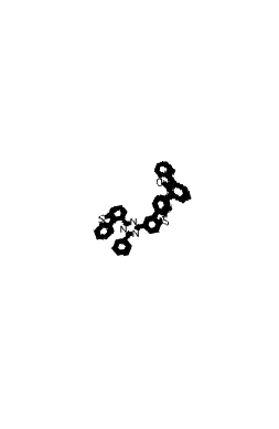 c1ccc(-c2nc(-c3ccc4sc5cc(-c6cccc7c6oc6ccccc67)ccc5c4c3)nc(-c3cccc4sc5ccccc5c34)n2)cc1